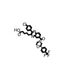 O=C(O)CCCCc1nc2cc(C(=O)N3CCO[C@H](c4ccc(C(F)(F)F)cc4)C3)ccc2nc1-c1ccc(Cl)cc1